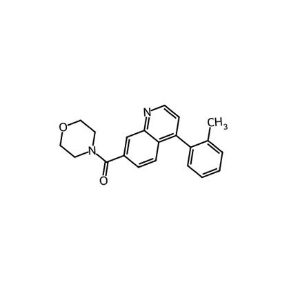 Cc1ccccc1-c1ccnc2cc(C(=O)N3CCOCC3)ccc12